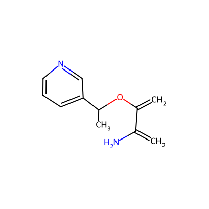 C=C(N)C(=C)OC(C)c1cccnc1